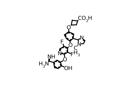 CN1CC=NC1c1cc(OC2CC(C(=O)O)C2)ccc1Oc1c(F)cnc(Oc2cc(C(=N)N)ccc2O)c1F